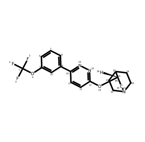 FC(F)(F)Oc1cccc(-c2ccc(O[C@H]3CN4CCC3CC4)nn2)c1